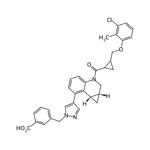 Cc1c(Cl)cccc1OCC1CC1C(=O)N1C[C@@H]2C[C@@H]2c2c(-c3cnn(Cc4cccc(C(=O)O)c4)c3)cccc21